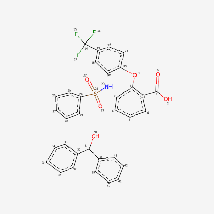 O=C(O)c1ccccc1Oc1ccc(C(F)(F)F)cc1NS(=O)(=O)c1ccccc1.OC(c1ccccc1)c1ccccc1